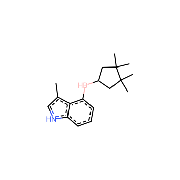 Cc1c[nH]c2cccc(BC3CC(C)(C)C(C)(C)C3)c12